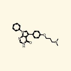 CN(C)CCCOc1ccc(-c2cn(-c3ccccc3)c3nc[nH]c(=O)c23)cc1